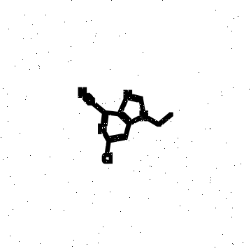 CCn1cnc2c(C#N)nc(Cl)cc21